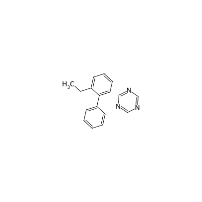 CCc1ccccc1-c1ccccc1.c1ncncn1